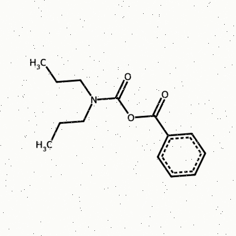 CCCN(CCC)C(=O)OC(=O)c1ccccc1